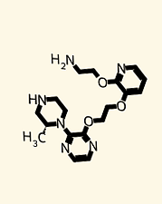 C[C@@H]1CNCCN1c1nccnc1OCCOc1cccnc1OCCN